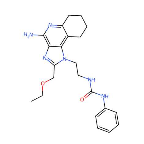 CCOCc1nc2c(N)nc3c(c2n1CCNC(=O)Nc1ccccc1)CCCC3